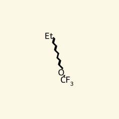 CCC=CC=CCCC=CCOCC(F)(F)F